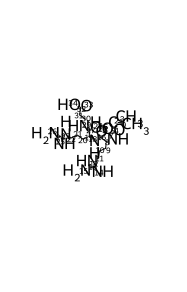 CC(C)(C)OC(=O)N[C@@H](CCCNC(=N)N)C(=O)N[C@@H](CCCNC(=N)N)C(=O)NCCC(=O)O